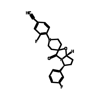 C#Cc1ccc(N2CCC3(CC2)O[C@@H]2CC[C@@H](c4cccc(F)c4)N2C3=O)c(F)c1